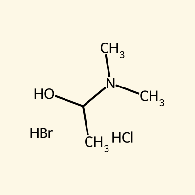 Br.CC(O)N(C)C.Cl